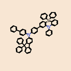 c1ccc(-c2ccc(N(c3ccc(-c4ccc5c(c4)N(c4ccccc4)c4ccccc4[Si]5(c4ccccc4)c4ccccc4)cc3)c3ccc4c(c3)C(c3ccccc3)(c3ccccc3)c3ccccc3-4)cc2)cc1